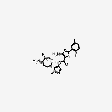 Cc1ccc(F)c(-c2nc(C(=O)Nc3cnn(C)c3[C@@H]3CC[C@@H](N)[C@@H](F)CO3)c(N)s2)c1